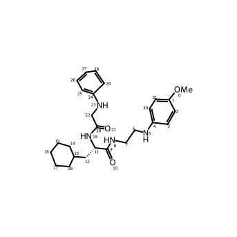 COc1ccc(NCCNC(=O)[C@H](CC2CCCCC2)NC(=O)CNc2ccccc2)cc1